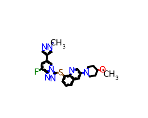 COC1CCN(c2cnc3c(Sc4nnc5c(F)cc(-c6cnn(C)c6)cn45)cccc3c2)CC1